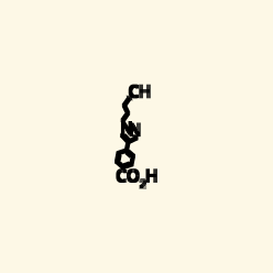 C#CCCCn1cc(-c2ccc(C(=O)O)cc2)cn1